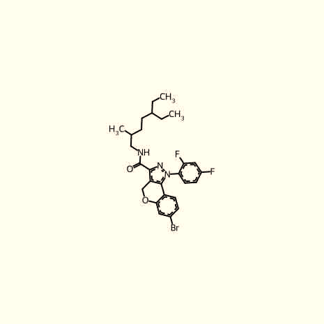 CCC(CC)CCC(C)CNC(=O)c1nn(-c2ccc(F)cc2F)c2c1COc1cc(Br)ccc1-2